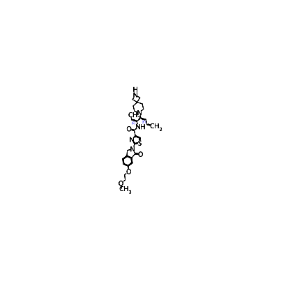 C=C/C=C(\C(=C/C)NC(=O)c1csc(N2Cc3ccc(OCCOC)cc3C2=O)n1)N1CCC2(CC1)CNC2